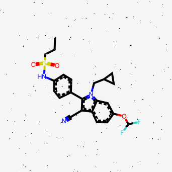 CCCS(=O)(=O)Nc1ccc(-c2c(C#N)c3ccc(OC(F)F)cc3n2CC2CC2)cc1